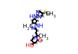 C=N/C(=C\C=C(/C)n1ccc(O)cc1=O)N[C@H]1CC[C@H](Nc2ncc(SC)cn2)C1